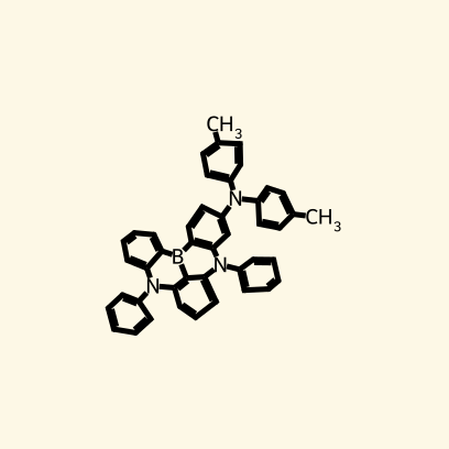 Cc1ccc(N(c2ccc(C)cc2)c2ccc3c(c2)N(c2ccccc2)c2cccc4c2B3c2ccccc2N4c2ccccc2)cc1